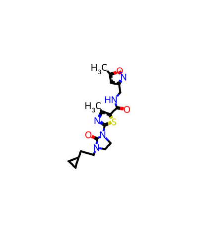 Cc1cc(CNC(=O)c2sc(N3CCN(CCC4CC4)C3=O)nc2C)no1